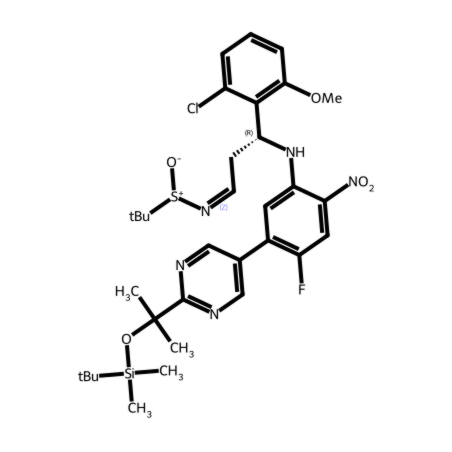 COc1cccc(Cl)c1[C@@H](C/C=N\[S+]([O-])C(C)(C)C)Nc1cc(-c2cnc(C(C)(C)O[Si](C)(C)C(C)(C)C)nc2)c(F)cc1[N+](=O)[O-]